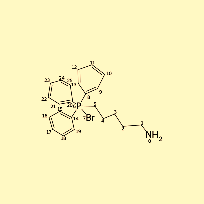 NCCCCCP(Br)(c1ccccc1)(c1ccccc1)c1ccccc1